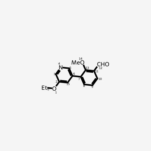 CCOc1cncc(-c2cccc(C=O)c2OC)c1